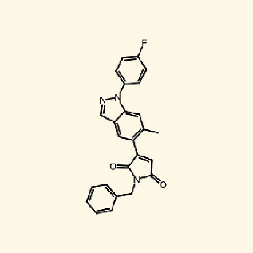 Cc1cc2c(cnn2-c2ccc(F)cc2)cc1C1=CC(=O)N(Cc2ccccc2)C1=O